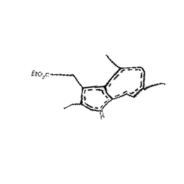 CCOC(=O)Cc1c(C)[nH]c2cc(C)cc(C)c12